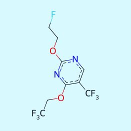 FCCOc1ncc(C(F)(F)F)c(OCC(F)(F)F)n1